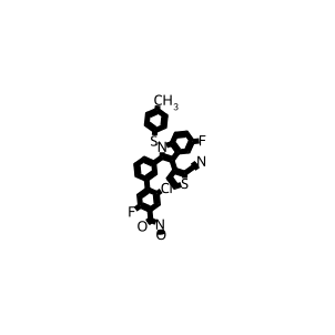 Cc1ccc(Sn2c(-c3cccc(-c4cc(F)c(C(=O)N=O)cc4Cl)c3)c(-c3ccsc3C#N)c3cc(F)ccc32)cc1